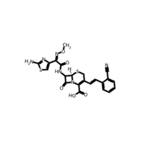 CO/N=C(\C(=O)NC1C(=O)N2C(C(=O)O)=C(/C=C/c3ccccc3C#N)CS[C@H]12)c1csc(N)n1